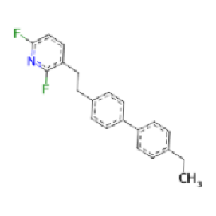 CCc1ccc(-c2ccc(CCc3ccc(F)nc3F)cc2)cc1